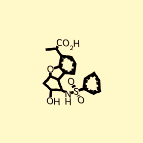 CC(C(=O)O)c1cccc2c1OC1CC(O)C(NS(=O)(=O)c3ccccc3)C21